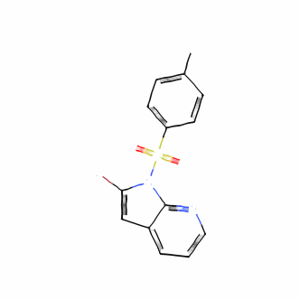 Cc1ccc(S(=O)(=O)n2c(Br)cc3cccnc32)cc1